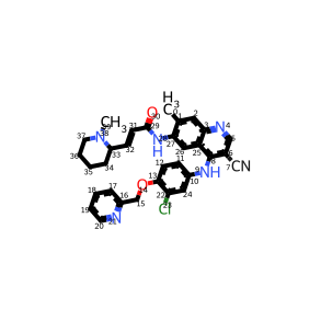 Cc1cc2ncc(C#N)c(Nc3ccc(OCc4ccccn4)c(Cl)c3)c2cc1NC(=O)/C=C/C1CCCCN1C